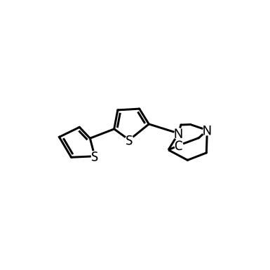 c1csc(-c2ccc(N3CCN4CCC3CC4)s2)c1